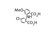 COc1ccc(C(=O)O)c(Nc2cc(Cl)ccc2C(=O)O)c1